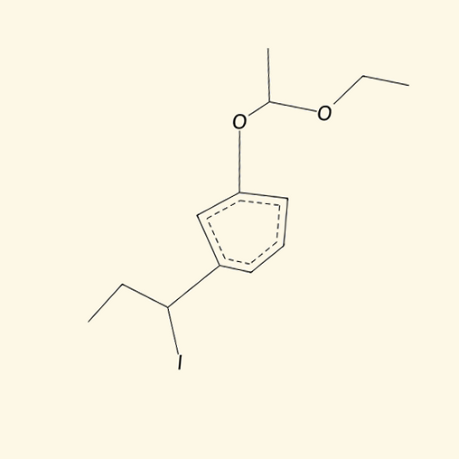 CCOC(C)Oc1cccc(C(I)CC)c1